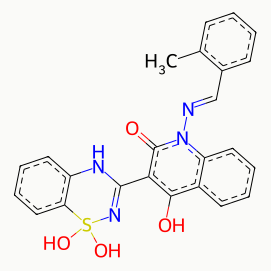 Cc1ccccc1C=Nn1c(=O)c(C2=NS(O)(O)c3ccccc3N2)c(O)c2ccccc21